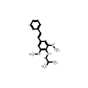 COc1cc(C=Cc2ccccc2)cc(OC)c1OCC(C)C